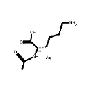 CC(=O)N[C@@H](CCCCN)C(=O)O.[Ag]